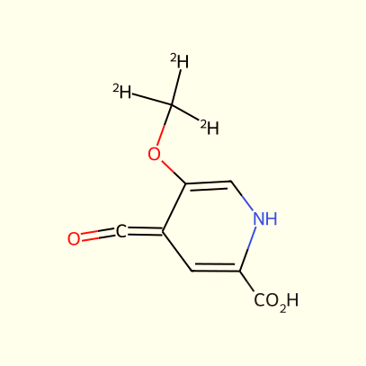 [2H]C([2H])([2H])OC1=CNC(C(=O)O)=CC1=C=O